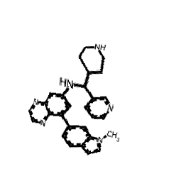 Cn1ccc2ccc(-c3cc(NC(c4cccnc4)C4CCNCC4)cc4nccnc34)cc21